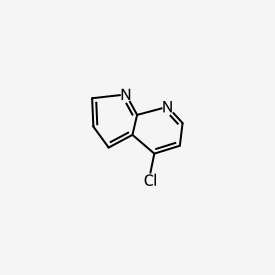 Clc1ccnc2ncccc12